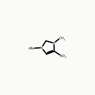 CCCCN1C=C([N+](=O)[O-])N(C)C1